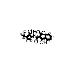 O=C(Nc1scc(C(F)(F)F)c1Cl)c1c(O)c2ccccc2oc1=O